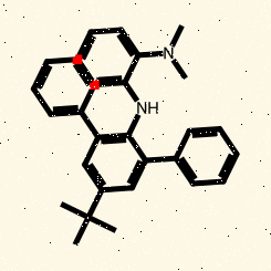 CN(C)c1ccccc1Nc1c(-c2ccccc2)cc(C(C)(C)C)cc1-c1ccccc1